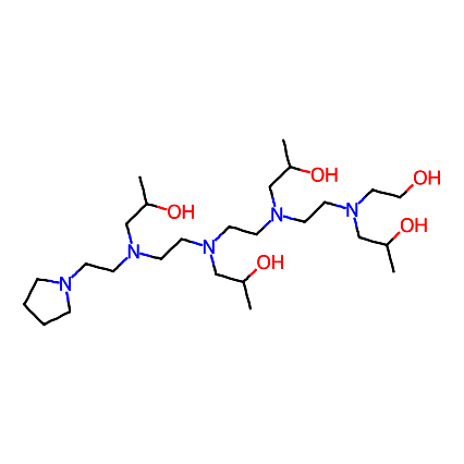 CC(O)CN(CCO)CCN(CCN(CCN(CCN1CCCC1)CC(C)O)CC(C)O)CC(C)O